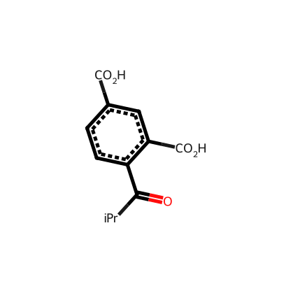 CC(C)C(=O)c1ccc(C(=O)O)cc1C(=O)O